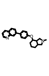 CN1CC2CCCC(Oc3ccc(-c4ccc5cccnc5c4)cc3)C2C1